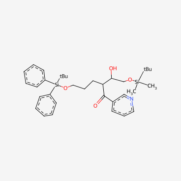 CC(C)(C)[Si](C)(C)OCC(O)C(CCCO[Si](c1ccccc1)(c1ccccc1)C(C)(C)C)C(=O)c1cccnc1